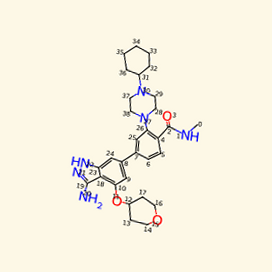 CNC(=O)c1ccc(-c2cc(OC3CCOCC3)c3c(N)n[nH]c3c2)cc1N1CCN(C2CCCCC2)CC1